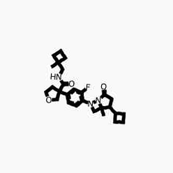 CC1(CNC(=O)C2(c3ccc(N4CC5(C)C(C6CCC6)CC(=O)N45)c(F)c3)CCOC2)CCC1